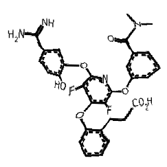 CN(C)C(=O)c1cccc(Oc2nc(Oc3cc(C(=N)N)ccc3O)c(F)c(Oc3ccccc3CCC(=O)O)c2F)c1